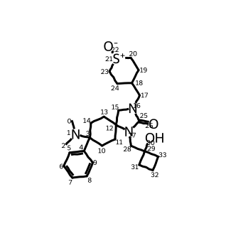 CN(C)C1(c2ccccc2)CCC2(CC1)CN(CC1CC[S+]([O-])CC1)C(=O)N2CC1(O)CCC1